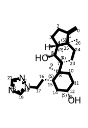 C=C1CC[C@H]2[C@H](O)[C@@H]([C@@]3(C)CC[C@H](O)C[C@@H]3CCn3cncn3)CC[C@]12C